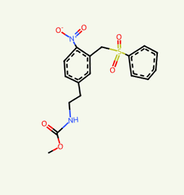 COC(=O)NCCc1ccc([N+](=O)[O-])c(CS(=O)(=O)c2ccccc2)c1